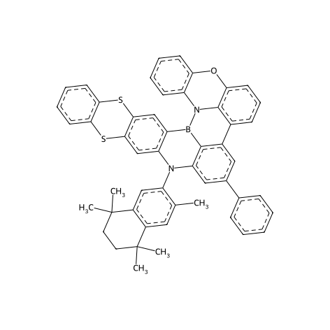 Cc1cc2c(cc1N1c3cc4c(cc3B3c5c(cc(-c6ccccc6)cc51)-c1cccc5c1N3c1ccccc1O5)Sc1ccccc1S4)C(C)(C)CCC2(C)C